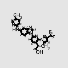 Cc1ccc(Nc2ccc3c(c2)ncn3-c2ccc(CCO)c(-n3nc(C(F)F)cc3C)n2)nn1